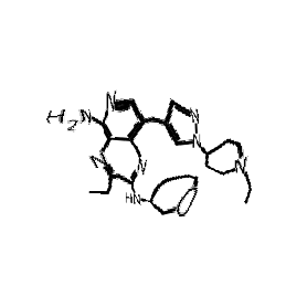 CCc1nc2c(N)ncc(-c3cnn(C4CCN(CC)CC4)c3)c2nc1N[C@H]1CCOC1